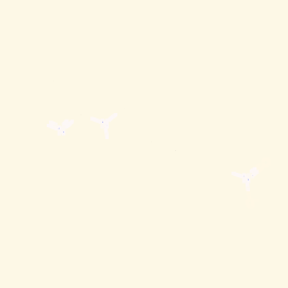 CC1=CC(c2ccc([N+](=O)[O-])cc2)=CC(Cl)N1c1cccc(C)n1